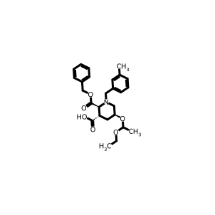 CCOC(C)O[C@H]1C[C@H](C(=O)O)[C@@H](C(=O)OCc2ccccc2)N(Cc2cccc(C)c2)C1